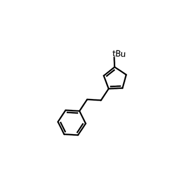 CC(C)(C)C1=CC(CCc2ccccc2)=CC1